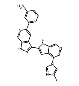 Cc1cn(-c2cncc3[nH]c(-c4n[nH]c5cnc(-c6cncc(N)c6)cc45)cc23)cn1